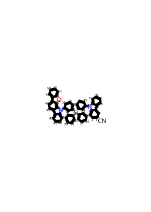 N#Cc1ccc2c(c1)c1ccccc1n2-c1cccc([Si](c2ccccc2)(c2ccccc2)c2cccc(-n3c4ccccc4c4ccc5c6ccccc6oc5c43)c2)c1